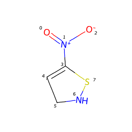 O=[N+]([O-])C1=[C]CNS1